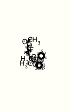 CC(=O)OC[C@@]1(F)C[C@@H]1CO[Si](c1ccccc1)(c1ccccc1)C(C)(C)C